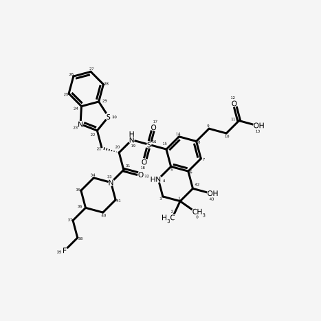 CC1(C)CNc2c(cc(CCC(=O)O)cc2S(=O)(=O)N[C@@H](Cc2nc3ccccc3s2)C(=O)N2CCC(CCF)CC2)C1O